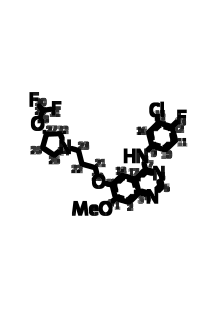 COc1cc2ncnc(Nc3ccc(F)c(Cl)c3)c2cc1OCCCN1CC[C@H](OC(F)F)C1